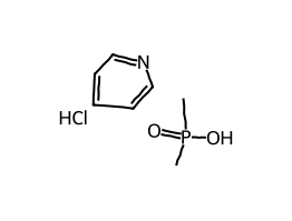 CP(C)(=O)O.Cl.c1ccncc1